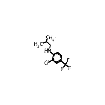 [CH2]C(C)CNc1ccc(C(F)(F)F)cc1Cl